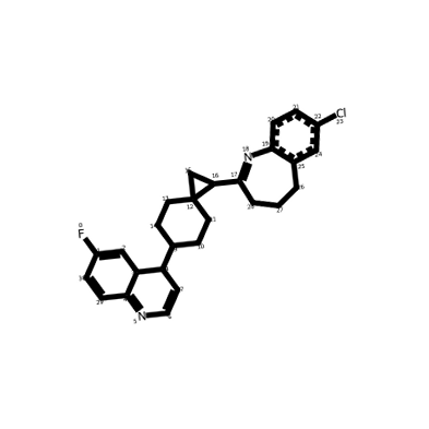 FC1=CC2C(=NC=CC2C2CCC3(CC2)CC3C2=Nc3ccc(Cl)cc3CCC2)C=C1